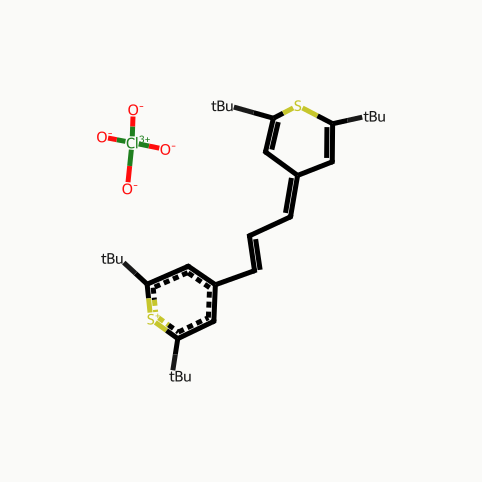 CC(C)(C)C1=CC(=C/C=C/c2cc(C(C)(C)C)[s+]c(C(C)(C)C)c2)C=C(C(C)(C)C)S1.[O-][Cl+3]([O-])([O-])[O-]